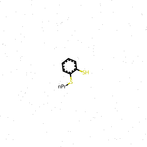 CCCSc1ccccc1S